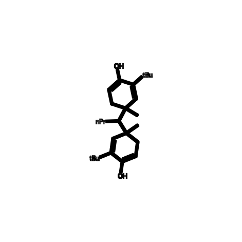 CCCC(C1(C)C=C(C(C)(C)C)C(O)=CC1)C1(C)C=C(C(C)(C)C)C(O)=CC1